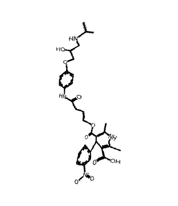 CC1=C(C(=O)O)C(c2cccc([N+](=O)[O-])c2)C(C(=O)OCCCC(=O)Nc2ccc(OCC(O)CNC(C)C)cc2)=C(C)N1